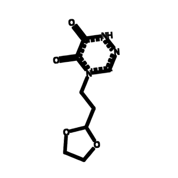 O=c1[nH]n[c]n(CCC2OCCO2)c1=O